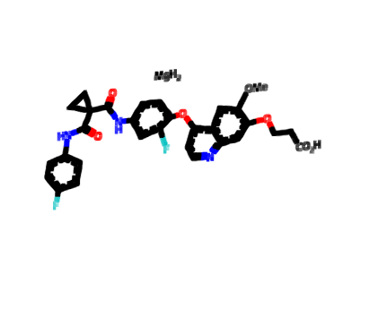 COc1cc2c(Oc3ccc(NC(=O)C4(C(=O)Nc5ccc(F)cc5)CC4)cc3F)ccnc2cc1OCCC(=O)O.[MgH2]